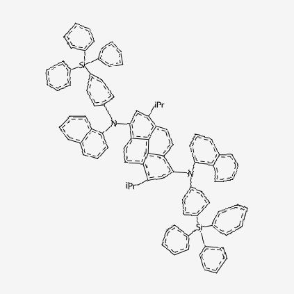 CC(C)c1cc(N(c2ccc([Si](c3ccccc3)(c3ccccc3)c3ccccc3)cc2)c2cccc3ccccc23)c2ccc3c(C(C)C)cc(N(c4ccc([Si](c5ccccc5)(c5ccccc5)c5ccccc5)cc4)c4cccc5ccccc45)c4ccc1c2c34